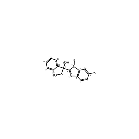 Cc1ccc2nc(C(O)(CO)c3ccccc3)n(C)c2c1